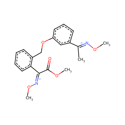 CO/N=C(\C)c1cccc(OCc2ccccc2/C(=N\OC)C(=O)OC)c1